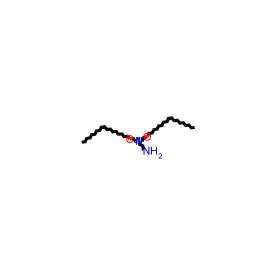 CCCCCCCC/C=C\CCCCCCCCOCC[N+](C)(CCCN)CCOCCCCCCCC/C=C\CCCCCCCC